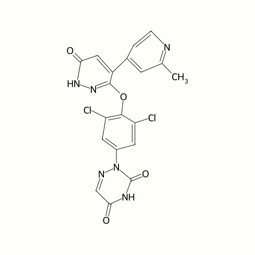 Cc1cc(-c2cc(=O)[nH]nc2Oc2c(Cl)cc(-n3ncc(=O)[nH]c3=O)cc2Cl)ccn1